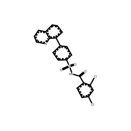 O=C(NS(=O)(=O)c1ccc(-c2cccc3cccnc23)cc1)c1ccc(Cl)cc1Cl